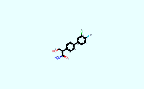 NC(=O)C(CO)c1ccc(-c2ccc(F)c(Cl)c2)cc1